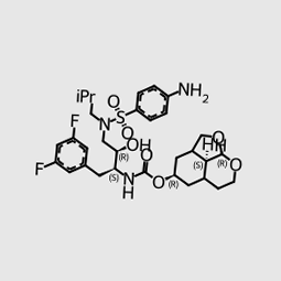 CC(C)CN(C[C@@H](O)[C@H](Cc1cc(F)cc(F)c1)NC(=O)O[C@@H]1CC2CCO[C@@H]3OCC(C1)[C@H]23)S(=O)(=O)c1ccc(N)cc1